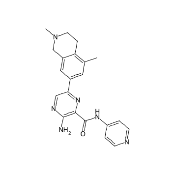 Cc1cc(-c2cnc(N)c(C(=O)Nc3ccncc3)n2)cc2c1CCN(C)C2